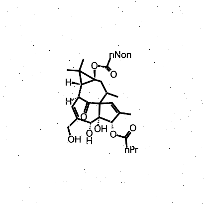 CCCCCCCCCC(=O)O[C@@]12CC(C)C34C=C(C)[C@H](OC(=O)CCC)[C@@]3(O)[C@H](O)C(CO)=C[C@H](C4=O)[C@@H]1C2(C)C